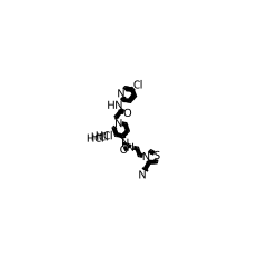 Cl.Cl.Cl.N#CC1CSCN1CCn1on1C1CCN(CC(=O)Nc2ccc(Cl)cn2)CC1